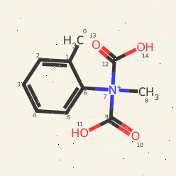 Cc1ccccc1[N+](C)(C(=O)O)C(=O)O